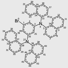 Brc1cc(N(c2cccc3ccccc23)c2cccc3ccccc23)cc(N(c2cccc3ccccc23)c2cccc3ccccc23)c1